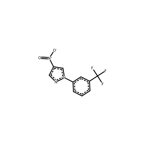 O=[N+]([O-])c1cnn(-c2cccc(C(F)(F)F)c2)c1